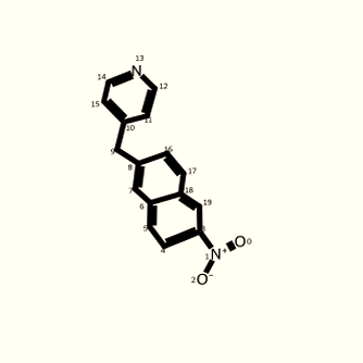 O=[N+]([O-])c1ccc2cc(Cc3ccncc3)ccc2c1